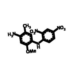 COc1cc(N)c(C)cc1Nc1ccc([N+](=O)[O-])cc1[N+](=O)[O-]